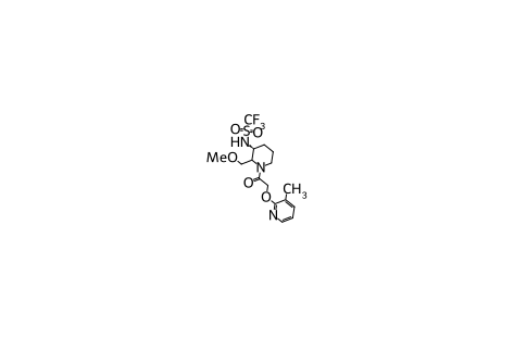 COCC1[C@@H](NS(=O)(=O)C(F)(F)F)CCCN1C(=O)COc1ncccc1C